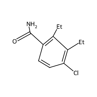 CCc1c(Cl)ccc(C(N)=O)c1CC